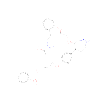 COc1ccccc1COCCCOc1ccc(C2CCNCC2OCCOc2ccccc2CCNC(C)=O)cc1